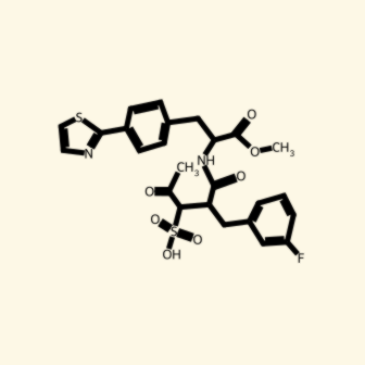 COC(=O)C(Cc1ccc(-c2nccs2)cc1)NC(=O)C(Cc1cccc(F)c1)C(C(C)=O)S(=O)(=O)O